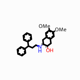 COc1cc2c(cc1OC)C[C@@H](NCCC(c1ccccc1)c1ccccc1)[C@@H](O)C2